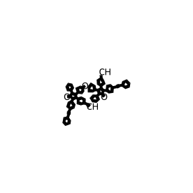 C#Cc1ccc(C2=C(c3ccc(C#Cc4ccccc4)cc3)C(=O)C(c3ccccc3)=C2c2ccc(Oc3ccc(C4=C(c5ccccc5)C(=O)C(c5ccc(C#Cc6ccccc6)cc5)=C4c4ccc(C#C)cc4)cc3)cc2)cc1